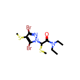 CCN(CC)C(=O)C(SC)n1nc(Br)c(SC)c1Br